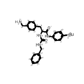 CC(C)(C)c1ccc(NC(=O)C(Cc2ccc(CN)cc2)NC(=O)NCc2ccccc2)cc1